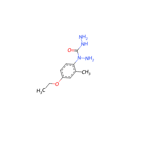 CCOc1ccc(N(N)C(=O)NN)c(C)c1